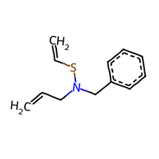 C=CCN(Cc1ccccc1)SC=C